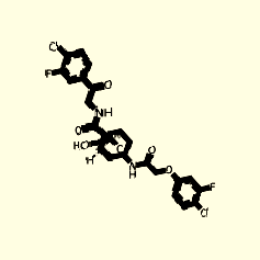 O=C(COc1ccc(Cl)c(F)c1)NC12CCC(C(=O)NCC(=O)c3ccc(Cl)c(F)c3)(CC1)[C@H](O)C2